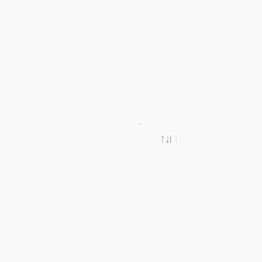 CCC(=O)C(N)(CC)c1ccccc1